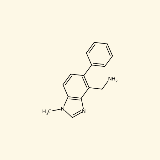 Cn1cnc2c(CN)c(-c3ccccc3)ccc21